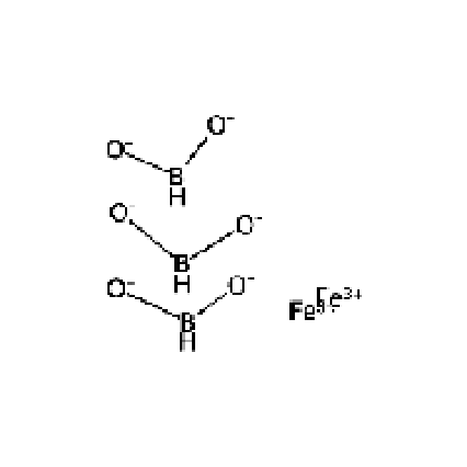 [Fe+3].[Fe+3].[O-]B[O-].[O-]B[O-].[O-]B[O-]